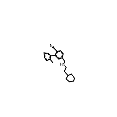 Cc1ccccc1-c1cc(CNCCC2CCCCC2)ccc1C#N